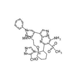 COCCO[C@]1(n2cnnc2C=O)CCCCC1c1nc2c(-c3cnn(-c4ccccc4)c3)cnn2c(N)c1S(C)(=O)=O